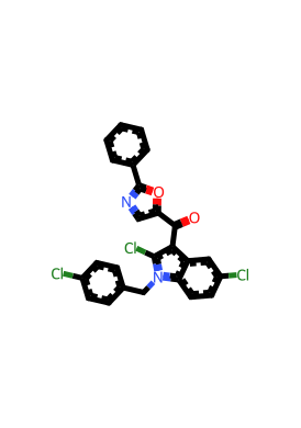 O=C(c1cnc(-c2ccccc2)o1)c1c(Cl)n(Cc2ccc(Cl)cc2)c2ccc(Cl)cc12